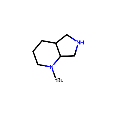 CC(C)(C)N1CCCC2CNCC21